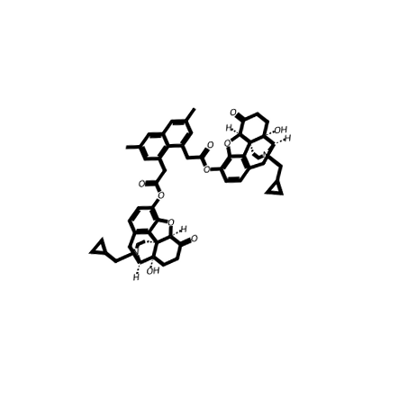 Cc1cc(CC(=O)Oc2ccc3c4c2O[C@H]2C(=O)CC[C@@]5(O)[C@@H](C3)N(CC3CC3)CC[C@]425)c2c(CC(=O)Oc3ccc4c5c3O[C@H]3C(=O)CC[C@@]6(O)[C@@H](C4)N(CC4CC4)CC[C@]536)cc(C)cc2c1